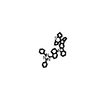 c1ccc(-c2nc(-c3ccccc3)nc(-c3cccc4c(-n5c6ccccc6c6cc7c(cc65)C5(c6ccccc6Sc6ccccc65)c5ccccc5-7)cccc34)n2)cc1